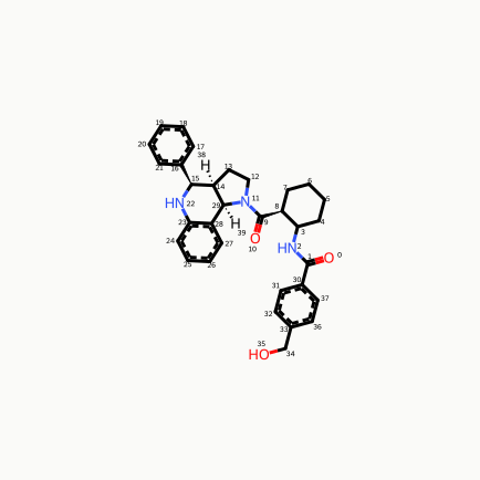 O=C(NC1CCCC[C@@H]1C(=O)N1CC[C@@H]2[C@H](c3ccccc3)Nc3ccccc3[C@@H]21)c1ccc(CO)cc1